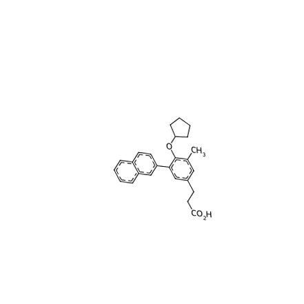 Cc1cc(CCC(=O)O)cc(-c2ccc3ccccc3c2)c1OC1CCCC1